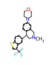 CN1Cc2cc(N3CCOCC3)ccc2C(c2ccc3scc(C(F)(F)F)c3c2)C1